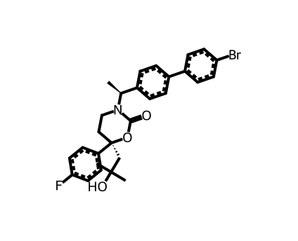 C[C@@H](c1ccc(-c2ccc(Br)cc2)cc1)N1CC[C@](CC(C)(C)O)(c2ccc(F)cc2)OC1=O